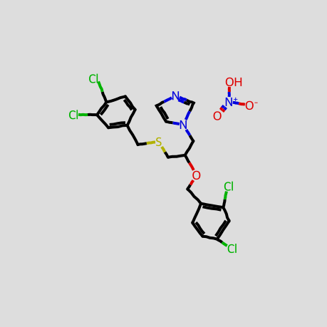 Clc1ccc(COC(CSCc2ccc(Cl)c(Cl)c2)Cn2ccnc2)c(Cl)c1.O=[N+]([O-])O